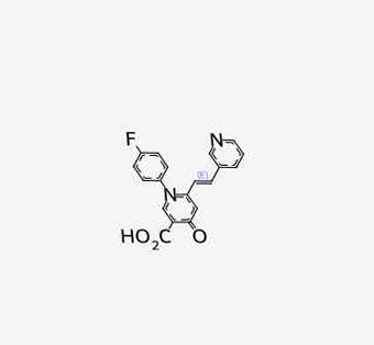 O=C(O)c1cn(-c2ccc(F)cc2)c(/C=C/c2cccnc2)cc1=O